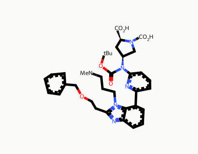 CNCCCn1c(CCOCc2ccccc2)nc2cccc(-c3cccc(N(C(=O)OC(C)(C)C)[C@H]4C[C@@H](C(=O)O)N(C(=O)O)C4)n3)c21